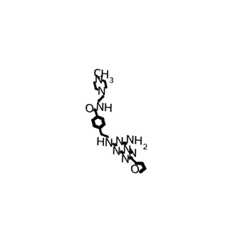 CN1CCN(CCNC(=O)c2ccc(CCNc3nc(N)n4nc(-c5ccco5)nc4n3)cc2)CC1